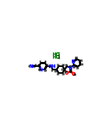 Cl.Cl.N#Cc1ccc(NCC2CCC3(CC2)CN(c2ccccn2)C(=O)O3)cn1